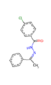 CC(=NNC(=O)c1ccc(Cl)cc1)c1ccccc1